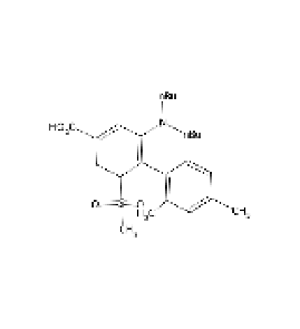 CCCCN(CCCC)C1=C(c2ccc(C)cc2C)C(S(C)(=O)=O)CC(C(=O)O)=C1